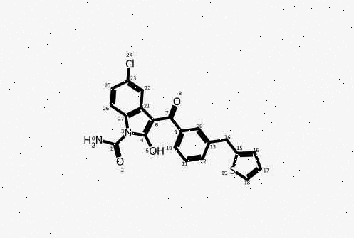 NC(=O)n1c(O)c(C(=O)c2cccc(Cc3cccs3)c2)c2cc(Cl)ccc21